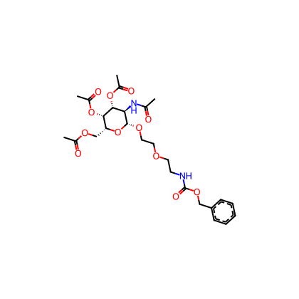 CC(=O)N[C@H]1[C@H](OCCOCCNC(=O)OCc2ccccc2)O[C@H](COC(C)=O)[C@H](OC(C)=O)[C@@H]1OC(C)=O